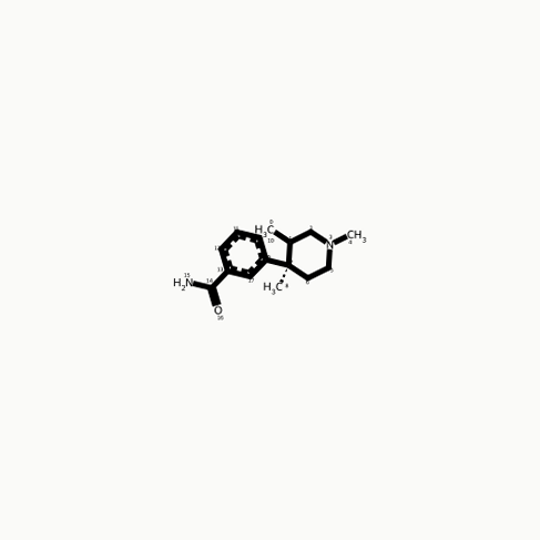 CC1CN(C)CC[C@@]1(C)c1cccc(C(N)=O)c1